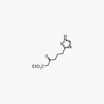 CCOC(=O)CC(=O)CCCc1nc[nH]n1